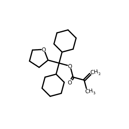 C=C(C)C(=O)OC(C1CCCCC1)(C1CCCCC1)C1CCCO1